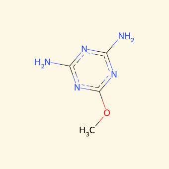 COc1nc(N)nc(N)n1